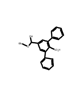 CC(C)(C)OC(O)c1cc(-c2ccccc2)c(S(=O)(=O)O)c(-c2ccccc2)c1